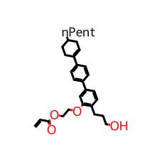 C=CC(=O)OCCOc1cc(-c2ccc(C3=CCC(CCCCC)CC3)cc2)ccc1CCCO